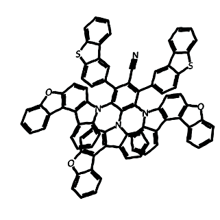 N#Cc1c(-c2ccc3sc4ccccc4c3c2)c(-n2c3ccccc3c3c4c(ccc32)oc2ccccc24)c(-n2c3ccccc3c3c4c(ccc32)oc2ccccc24)c(-n2c3ccccc3c3c4c(ccc32)oc2ccccc24)c1-c1ccc2sc3ccccc3c2c1